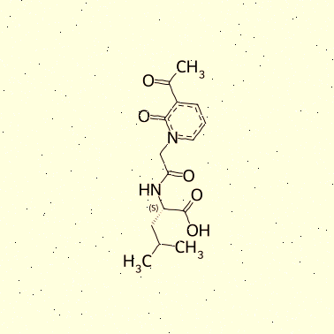 CC(=O)c1cccn(CC(=O)N[C@@H](CC(C)C)C(=O)O)c1=O